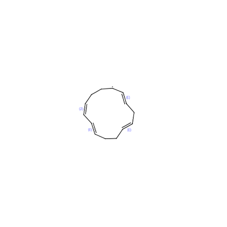 [CH]1/C=C/C/C=C/CC/C=C/C=C\CC1